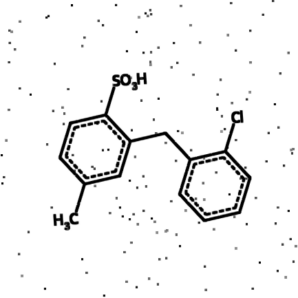 Cc1ccc(S(=O)(=O)O)c(Cc2ccccc2Cl)c1